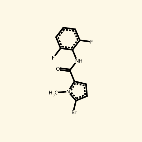 Cn1c(Br)ccc1C(=O)Nc1c(F)cccc1F